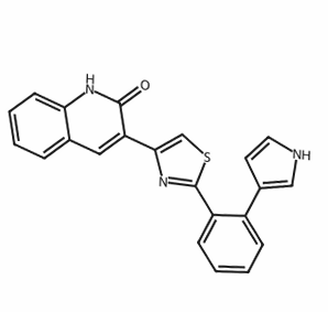 O=c1[nH]c2ccccc2cc1-c1csc(-c2ccccc2-c2cc[nH]c2)n1